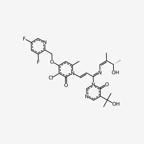 C/C(=C/N=C(\C=C\n1c(C)cc(OCc2ncc(F)cc2F)c(Cl)c1=O)n1cncc(C(C)(C)O)c1=O)[C@H](C)O